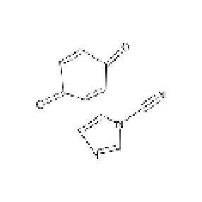 N#Cn1ccnc1.O=C1C=CC(=O)C=C1